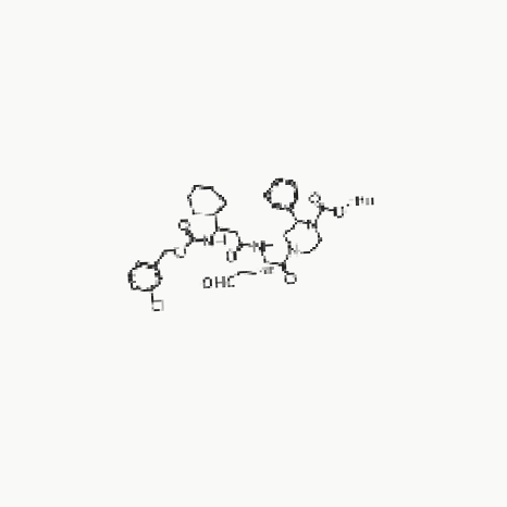 CC(C)(C)OC(=O)N1CCN(C(=O)[C@H](CCC=O)NC(=O)CC(NC(=O)OCc2cccc(Cl)c2)C2CCCCC2)CC1c1ccccc1